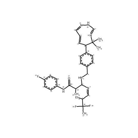 CCC(/C=N\C(NCc1ccc(C2/C=C/C=N\N/C=N/C2(C)C)cc1)C(C)C(=O)Nc1ccc(F)cc1)C(C)(F)F